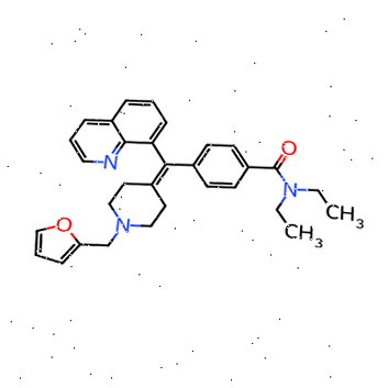 CCN(CC)C(=O)c1ccc(C(=C2CCN(Cc3ccco3)CC2)c2cccc3cccnc23)cc1